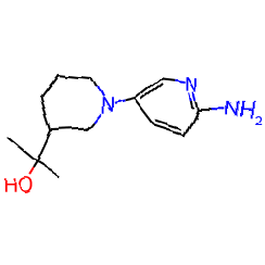 CC(C)(O)C1CCCN(c2ccc(N)nc2)C1